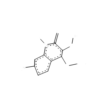 CCCCCCOc1c(OC=O)c(=O)n(CCCC)c2cc([N+](=O)[O-])ccc12